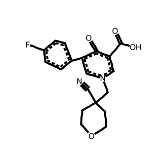 N#CC1(Cn2cc(C(=O)O)c(=O)c(-c3ccc(F)cc3)c2)CCOCC1